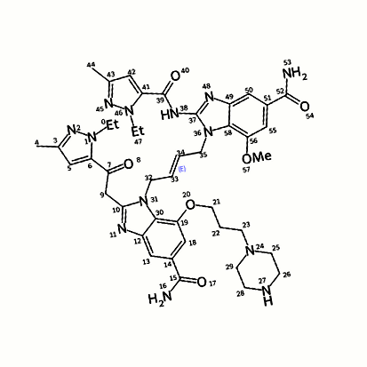 CCn1nc(C)cc1C(=O)Cc1nc2cc(C(N)=O)cc(OCCCN3CCNCC3)c2n1C/C=C/Cn1c(NC(=O)c2cc(C)nn2CC)nc2cc(C(N)=O)cc(OC)c21